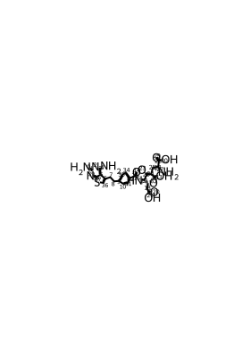 Nc1nc(N)c2c(CCc3ccc(C(=O)N[C@@H](CCC(=O)O)C(=O)C(C[C@H](N)C(=O)O)C(=O)O)cc3)csc2n1